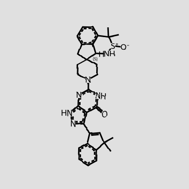 CC1(C)C=C(c2n[nH]c3nc(N4CCC5(CC4)Cc4cccc6c4[C@H]5N[S+]([O-])C6(C)C)[nH]c(=O)c23)c2ccccc21